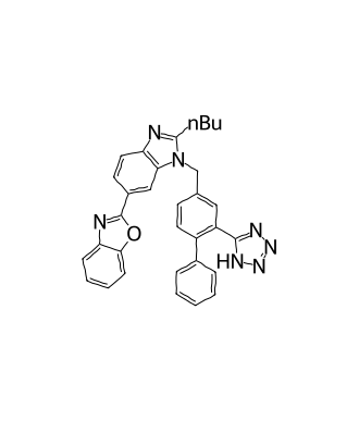 CCCCc1nc2ccc(-c3nc4ccccc4o3)cc2n1Cc1ccc(-c2ccccc2)c(-c2nnn[nH]2)c1